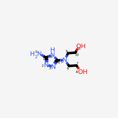 Nc1nnc(N(CCO)CCO)[nH]1